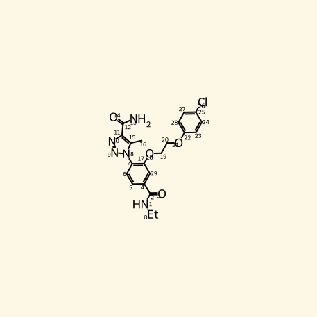 CCNC(=O)c1ccc(-n2nnc(C(N)=O)c2C)c(OCCOc2ccc(Cl)cc2)c1